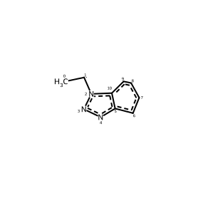 C[CH]n1nnc2ccccc21